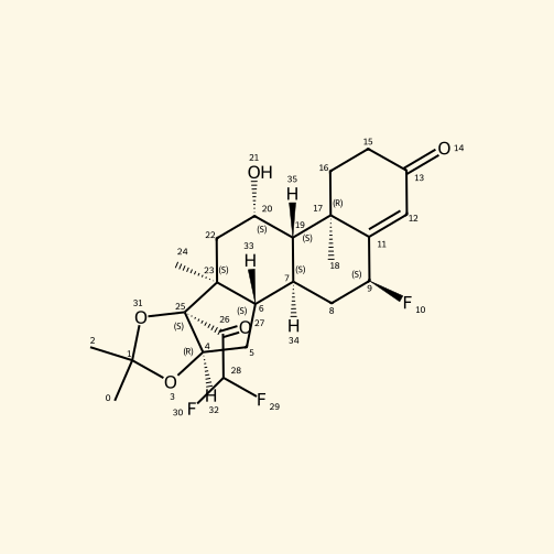 CC1(C)O[C@@H]2C[C@H]3[C@@H]4C[C@H](F)C5=CC(=O)CC[C@]5(C)[C@H]4[C@@H](O)C[C@]3(C)[C@]2(C(=O)C(F)F)O1